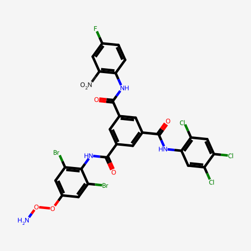 NOOc1cc(Br)c(NC(=O)c2cc(C(=O)Nc3cc(Cl)c(Cl)cc3Cl)cc(C(=O)Nc3ccc(F)cc3[N+](=O)[O-])c2)c(Br)c1